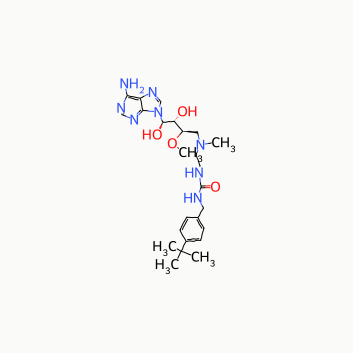 CO[C@H](CN(C)CCNC(=O)NCc1ccc(C(C)(C)C)cc1)[C@@H](O)[C@@H](O)n1cnc2c(N)ncnc21